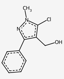 Cn1nc(-c2ccccc2)c(CO)c1Cl